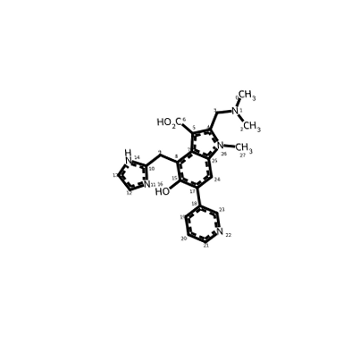 CN(C)Cc1c(C(=O)O)c2c(Cc3ncc[nH]3)c(O)c(-c3cccnc3)cc2n1C